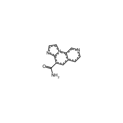 NC(=O)c1cc2ccncc2n2ccnc12